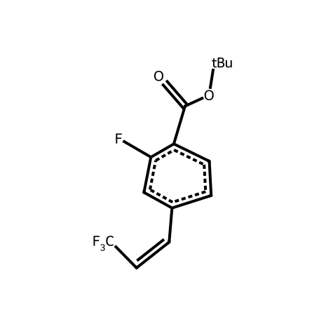 CC(C)(C)OC(=O)c1ccc(/C=C\C(F)(F)F)cc1F